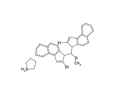 C1CC[SiH2]C1.CCC1=Cc2c(ccc3ccccc23)C1[CH]([Zr][CH3])C1C(CC)=Cc2c1ccc1ccccc21